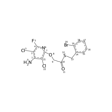 Nc1c(Cl)c(F)nc(OCC(=O)SCc2ccccc2Br)c1Cl